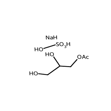 CC(=O)OCC(O)CO.O=S(=O)(O)O.[NaH]